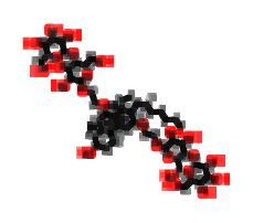 CCCCC[C@@H](C)[C@H]1CC[C@H]2[C@@H]3[C@H](OCCO[C@@H]4OC(CO)[C@@H](O[C@H]5OC(CO)[C@@H](O)C(O)[C@@H]5O)C(O)[C@@H]4O)C[C@@H]4C[C@H](O)CC[C@]4(C)[C@H]3C[C@H](OCCO[C@@H]3OC(CO)[C@@H](O[C@H]4OC(CO)[C@@H](O)[C@H](O)C4O)C(O)[C@@H]3O)[C@]12C